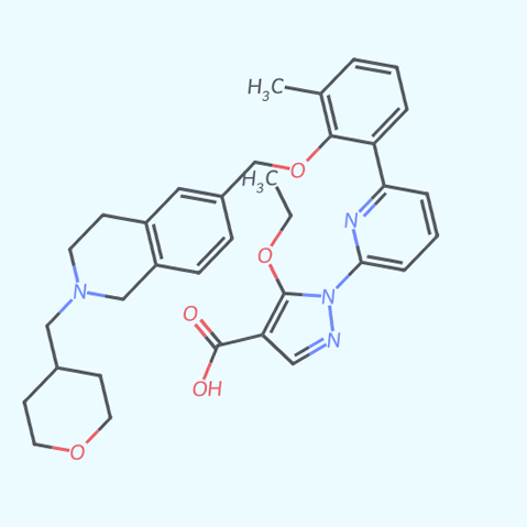 CCOc1c(C(=O)O)cnn1-c1cccc(-c2cccc(C)c2OCc2ccc3c(c2)CCN(CC2CCOCC2)C3)n1